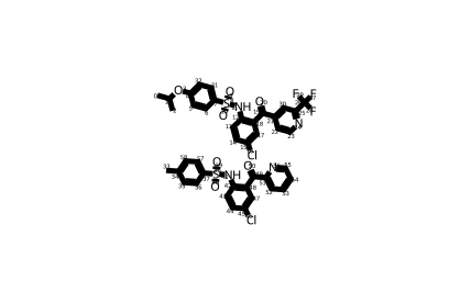 CC(C)Oc1ccc(S(=O)(=O)Nc2ccc(Cl)cc2C(=O)c2ccnc(C(F)(F)F)c2)cc1.Cc1ccc(S(=O)(=O)Nc2ccc(Cl)cc2C(=O)c2ccccn2)cc1